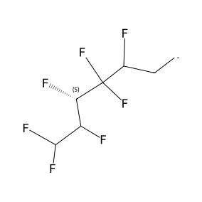 [CH2]CC(F)C(F)(F)[C@@H](F)C(F)C(F)F